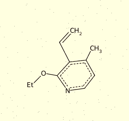 C=Cc1c(C)ccnc1OCC